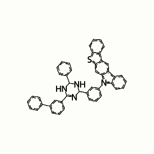 c1ccc(-c2cccc(C3=NC(c4cccc(-n5c6ccccc6c6cc7c(cc65)sc5ccccc57)c4)NC(c4ccccc4)N3)c2)cc1